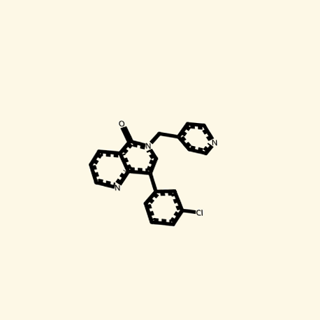 O=c1c2cccnc2c(-c2cccc(Cl)c2)cn1Cc1ccncc1